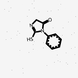 O=C1CN=C(S)N1c1ccccc1